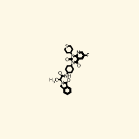 CC(C(=O)NC1CCC(n2c(=O)c3cc(F)cnc3n(C3CCSCC3)c2=O)CC1)N1Cc2ccccc2C1=O